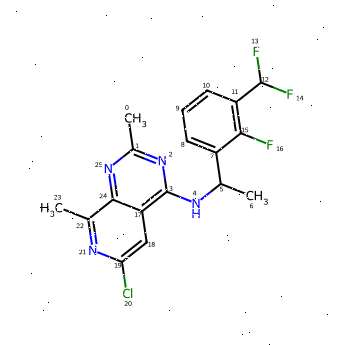 Cc1nc(NC(C)c2cccc(C(F)F)c2F)c2cc(Cl)nc(C)c2n1